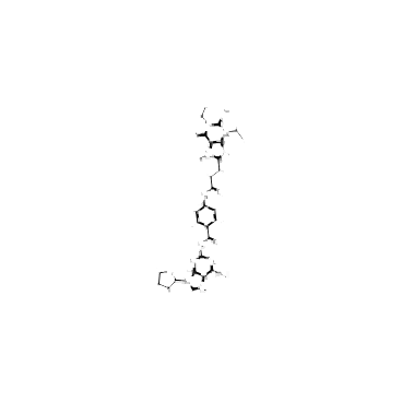 CCn1c(=O)c2c(nc(CCC(=O)Nc3ccc(C(=O)Nc4nc(N)c5ncn(C6CCCO6)c5n4)cc3)n2C)n(CC)c1=O